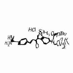 CCCCC(=O)N(CC(=O)O)c1ccc2c(C(=O)CCc3ccc(C(=N)N)cc3)cn(C)c2c1.Cl